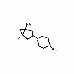 CN1CCN(C2C[C@H]3CC3(C)C2)CC1